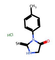 Cc1ccc(N2C(=O)CNC2=[Se])cc1.Cl